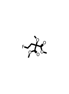 COC(=O)C(CCF)(OC)C(=O)OC